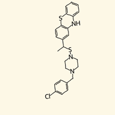 CC(SN1CCN(Cc2ccc(Cl)cc2)CC1)c1ccc2c(c1)Nc1ccccc1S2